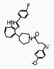 COc1ccc([C@@H](C)CCC(=O)N2CCCC(C3=CCC=Cc4[nH]c(-c5ccc(F)cc5)cc43)CC2)cc1